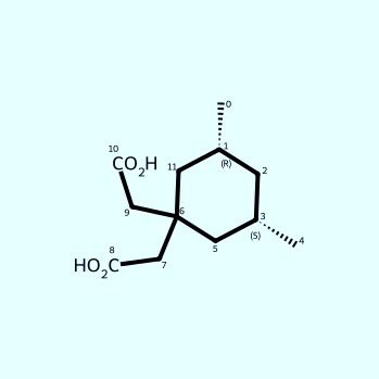 C[C@@H]1C[C@H](C)CC(CC(=O)O)(CC(=O)O)C1